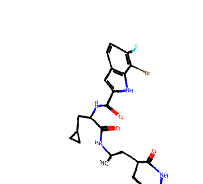 N#CC(CC1CCCNC1=O)NC(=O)C(CC1CC1)NC(=O)c1cc2ccc(F)c(Br)c2[nH]1